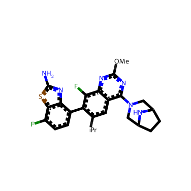 COc1nc(N2CC3CCC(C2)N3)c2cc(C(C)C)c(-c3ccc(F)c4sc(N)nc34)c(F)c2n1